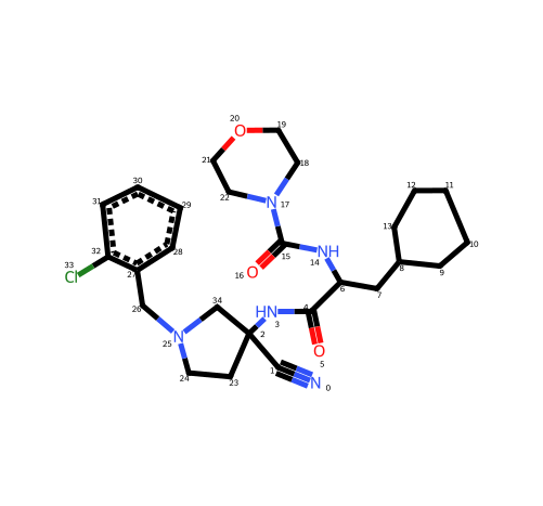 N#CC1(NC(=O)C(CC2CCCCC2)NC(=O)N2CCOCC2)CCN(Cc2ccccc2Cl)C1